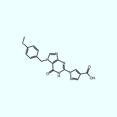 CSc1ccc(Cn2cnc3nc(-n4cc(C(=O)O)cn4)[nH]c(=O)c32)cc1